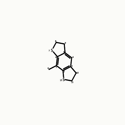 Cc1c2c(cc3c1SCC3)CCS2